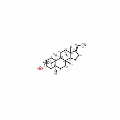 CC(=O)OC[C@]12CC[C@@H](O)C[C@@H]1CC[C@@H]1[C@@H]2CC[C@]2(C)C(=CC#N)CC[C@@H]12